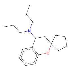 CCCN(CCC)C1CC2(CCCC2)Oc2ccccc21